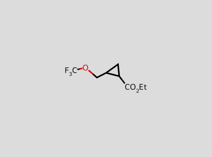 CCOC(=O)C1CC1COC(F)(F)F